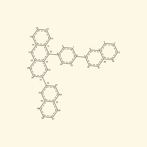 c1ccc2cc(-c3ccc(-c4c5ccccc5cc5ccc(-c6ccc7ccccc7c6)cc45)cc3)ccc2c1